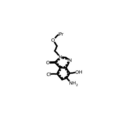 CC(C)OCCn1cnc2c(O)c(N)cc(Cl)c2c1=O